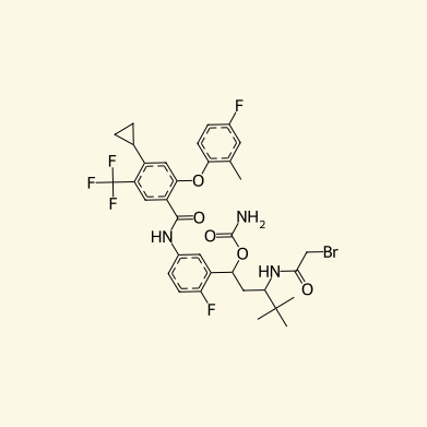 Cc1cc(F)ccc1Oc1cc(C2CC2)c(C(F)(F)F)cc1C(=O)Nc1ccc(F)c(C(CC(NC(=O)CBr)C(C)(C)C)OC(N)=O)c1